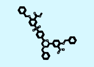 COC(=O)c1cc(S(=O)(=O)c2ccc(CCN(Cc3ccccc3)C[C@@H](O)c3ccc(OCc4ccccc4)c([N+](=O)[O-])c3)cc2)ccc1OCc1ccccc1